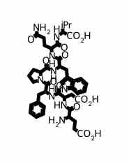 CC(C)C(NC(=O)C(CCC(N)=O)NC(=O)C(Cc1c[nH]c2ccccc12)NC(=O)C1CCCN1C(=O)C(Cc1ccccc1)NC(=O)C(CC(=O)O)NC(=O)C(N)CCC(=O)O)C(=O)O